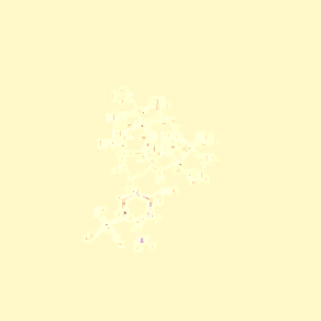 C[C@H]1O[C@@H](n2cc(C(F)(F)F)c(N)nc2=O)[C@H](O[Si](C)(C)C(C)(C)C)[C@@H]1O[Si](C)(C)C(C)(C)C